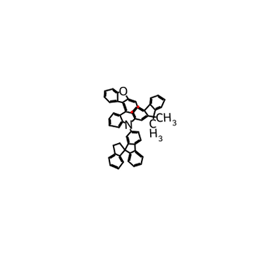 CC1(C)c2ccccc2-c2ccc(N(c3ccc4c(c3)C3(CCc5ccccc53)c3ccccc3-4)c3ccccc3-c3cccc4oc5ccccc5c34)cc21